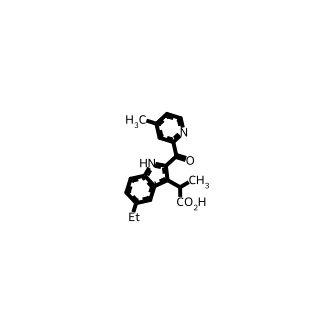 CCc1ccc2[nH]c(C(=O)c3cc(C)ccn3)c(C(C)C(=O)O)c2c1